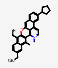 Cc1c2c(c(CC(C)C)c3ccc(CC(C)(C)C)cc13)Oc1cc3ccc(C4CCCC4)cc3c3cc[n+](C)c-2c13